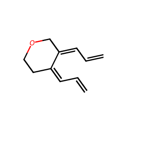 C=C/C=C1/CCOC/C1=C/C=C